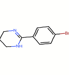 Brc1ccc(C2=NCCCN2)cc1